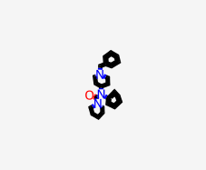 O=C(N1CCCCC1)N(c1ccccc1)C1CCN(Cc2ccccc2)CC1